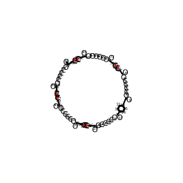 O=C1OCCCCOC(=O)c2ccc(cc2)C(=O)OCCCCOC(=O)c2ccc(cc2)C(=O)OCCCCOC(=O)c2ccc(cc2)C(=O)OCCCCOC(=O)c2ccc(cc2)C(=O)OCCCCOC(=O)c2ccc1cc2